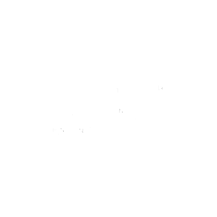 CC1(c2cccc(NC(=O)c3cc(Br)ccc3Cl)c2)CCSC(N)=N1